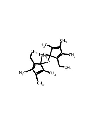 CCC1=C(C)C(C)=C(C)[C]1(C)[Zr][C]1(C)C(C)=C(C)C(C)=C1CC